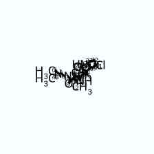 CCN(CC)CCNC(=O)c1c(C)[nH]c(C2CC3c4cc(Cl)ccc4NC(=O)C32)c1C